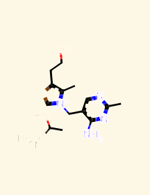 CC(O)C(=O)O.Cc1ncc(C[n+]2csc(CCO)c2C)c(N)n1.[Cl-]